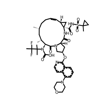 C[C@@H]1CCC=C[C@@H]2C[C@@]2(C(=O)NS(=O)(=O)C2(C)CC2)NC(=O)[C@@H]2C[C@@H](Oc3nccc4c(N5CCOCC5)cccc34)CN2C(=O)[C@@H](N(C(=O)O)C(C)(C)C(C)(F)F)[C@H](C)C1